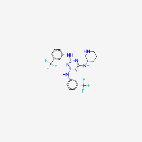 FC(F)(F)c1cccc(Nc2nc(Nc3cccc(C(F)(F)F)c3)nc(NC3CCCNC3)n2)c1